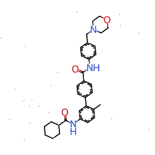 Cc1ccc(NC(=O)C2CCCCC2)cc1-c1ccc(C(=O)Nc2ccc(CN3CCOCC3)cc2)cc1